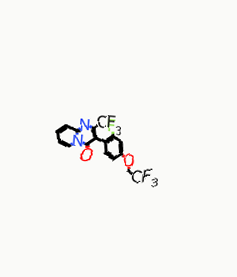 O=c1c(-c2ccc(OCC(F)(F)F)cc2F)c(C(F)(F)F)nc2ccccn12